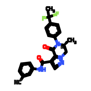 C[C@H]1Cn2ncc(C(=O)Nc3cccc(C#N)c3)c2C(=O)N1c1ccc(C(C)(F)F)cc1